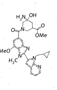 COC(=O)C1CN(C(=O)c2cc(OC)c3c(c2)nc(-c2cc4cccnc4n2CC2CC2)n3C)CC(N)(O)C1